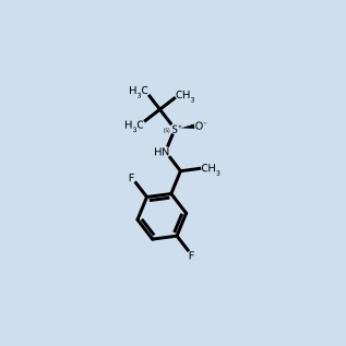 CC(N[S@+]([O-])C(C)(C)C)c1cc(F)ccc1F